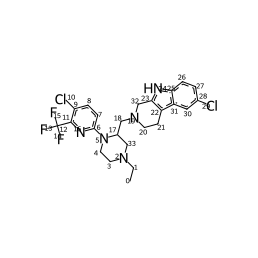 CCN1CCN(c2ccc(Cl)c(C(F)(F)F)n2)C(CN2CCc3c([nH]c4ccc(Cl)cc34)C2)C1